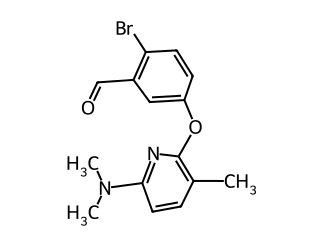 Cc1ccc(N(C)C)nc1Oc1ccc(Br)c(C=O)c1